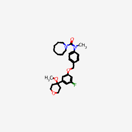 COC1(c2cc(F)cc(OCc3ccc(N(C)C(=O)N4CCCCCCC4)cc3)c2)CCOCC1